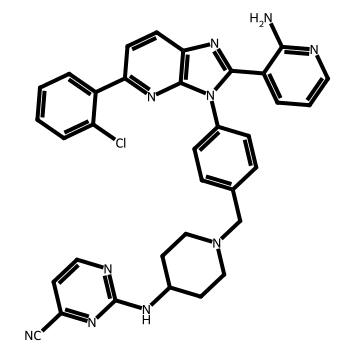 N#Cc1ccnc(NC2CCN(Cc3ccc(-n4c(-c5cccnc5N)nc5ccc(-c6ccccc6Cl)nc54)cc3)CC2)n1